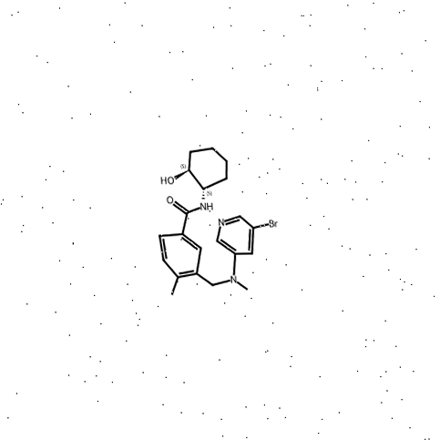 Cc1ccc(C(=O)N[C@H]2CCCC[C@@H]2O)cc1CN(C)c1cncc(Br)c1